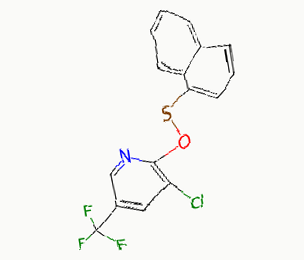 FC(F)(F)c1cnc(OSc2cccc3ccccc23)c(Cl)c1